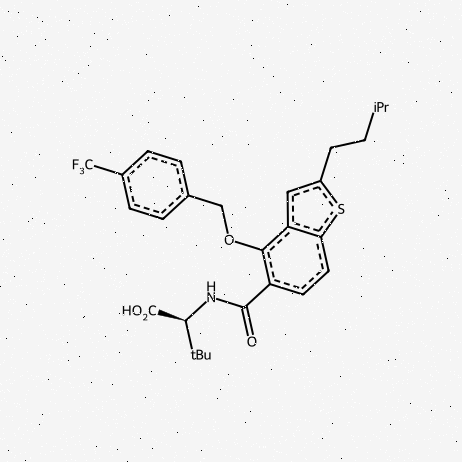 CC(C)CCc1cc2c(OCc3ccc(C(F)(F)F)cc3)c(C(=O)N[C@H](C(=O)O)C(C)(C)C)ccc2s1